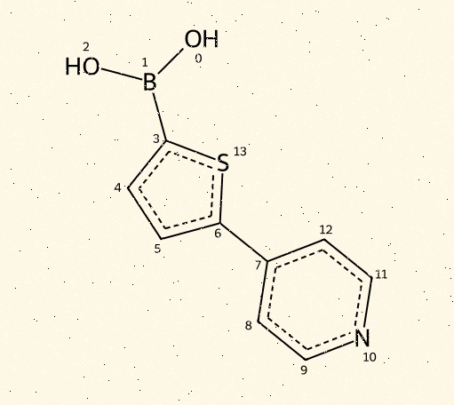 OB(O)c1ccc(-c2ccncc2)s1